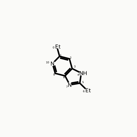 CCc1cc2[nH]c(CC)nc2cn1